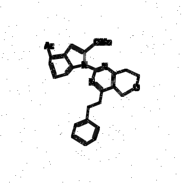 COc1cc2c(C(C)=O)cccc2n1-c1nc2c(c(CCc3ccccc3)n1)COCC2